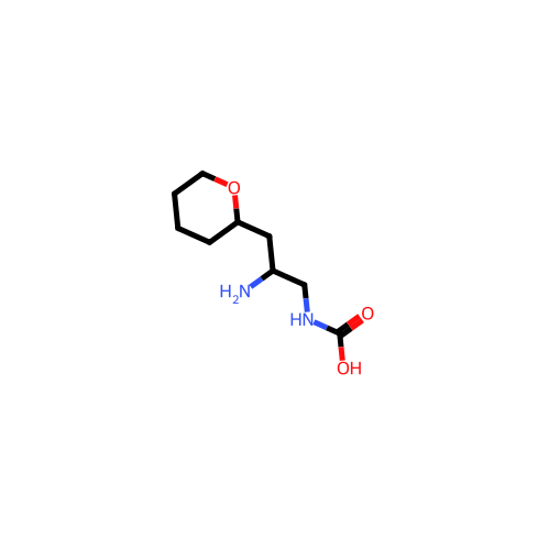 NC(CNC(=O)O)CC1CCCCO1